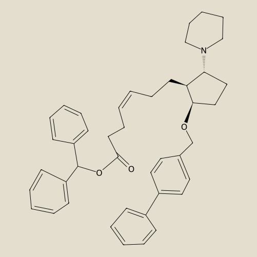 O=C(CC/C=C\CC[C@H]1[C@H](N2CCCCC2)CC[C@H]1OCc1ccc(-c2ccccc2)cc1)OC(c1ccccc1)c1ccccc1